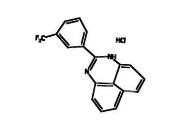 Cl.FC(F)(F)c1cccc(C2=Nc3cccc4cccc(c34)N2)c1